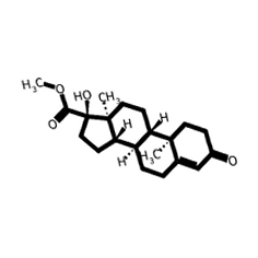 COC(=O)[C@@]1(O)CC[C@H]2[C@@H]3CCC4=CC(=O)CC[C@]4(C)[C@H]3CC[C@@]21C